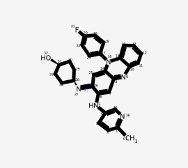 Cc1ccc(Nc2cc3nc4ccccc4n(-c4ccc(F)cc4)c-3c/c2=N\[C@H]2CC[C@H](O)CC2)cn1